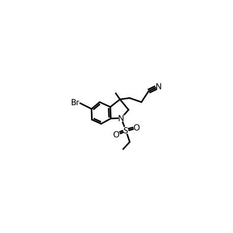 CCS(=O)(=O)N1CC(C)(CCC#N)c2cc(Br)ccc21